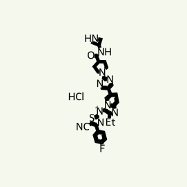 CCc1nc2ccc(-c3cnc(N4CCC(C(=O)NC5CNC5)CC4)nc3)cn2c1N(C)c1nc(-c2ccc(F)cc2)c(C#N)s1.Cl